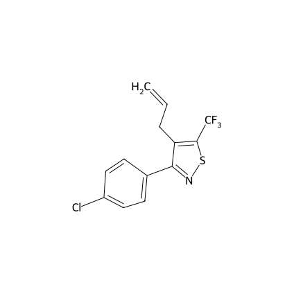 C=CCc1c(-c2ccc(Cl)cc2)nsc1C(F)(F)F